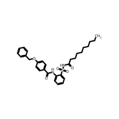 CCCCCCCCCC(=O)NS(=O)(=O)c1ccccc1NC(=O)c1ccc(OCc2ccccc2)cc1